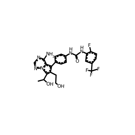 CC(O)c1c(CCO)c(-c2ccc(NC(=O)Nc3cc(C(F)(F)F)ccc3F)cc2)c2c(N)ncnn12